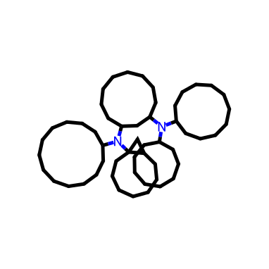 C1CCCCCCC(N(C2CCCCCCCCC(N(C3CCCCCCCCCC3)C3CCCCCCCC3)C2)C23CCCCCCCC2C3)CCCCC1